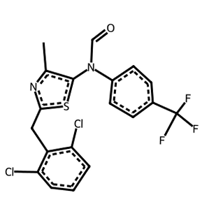 Cc1nc(Cc2c(Cl)cccc2Cl)sc1N(C=O)c1ccc(C(F)(F)F)cc1